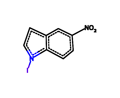 O=[N+]([O-])c1ccc2c(ccn2I)c1